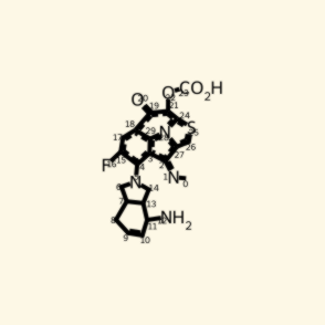 CN=c1c2c(N3CC4CC=CC(N)C4C3)c(F)cc3c(=O)c(OC(=O)O)c4scc1n4c32